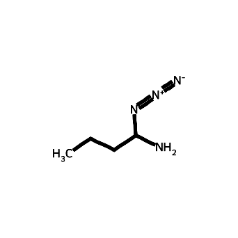 CCCC(N)N=[N+]=[N-]